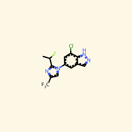 CC(F)c1nc(C(F)(F)F)cn1-c1cc(Cl)c2[nH]ncc2c1